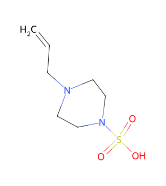 C=CCN1CCN(S(=O)(=O)O)CC1